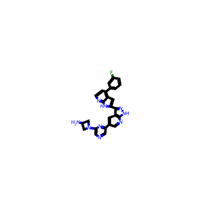 NC1CN(c2cncc(-c3cnc4[nH]nc(-c5cc6c(-c7cccc(F)c7)ccnc6[nH]5)c4c3)n2)C1